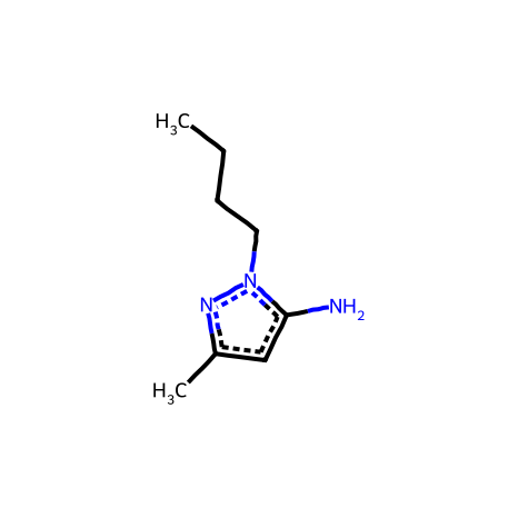 CCCCn1nc(C)cc1N